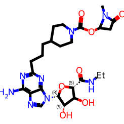 CCNC(=O)[C@H]1O[C@@H](n2cnc3c(N)nc(CCCC4CCN(C(=O)OC5CC(=O)N5C)CC4)nc32)[C@@H](O)C1O